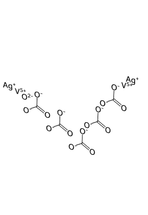 O=C([O-])[O-].O=C([O-])[O-].O=C([O-])[O-].O=C([O-])[O-].O=C([O-])[O-].[Ag+].[Ag+].[O-2].[V+5].[V+5]